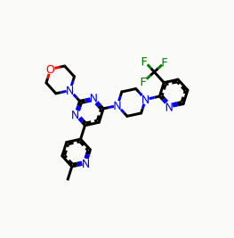 Cc1ccc(-c2cc(N3CCN(c4ncccc4C(F)(F)F)CC3)nc(N3CCOCC3)n2)cn1